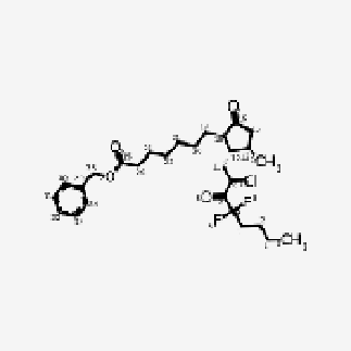 CCCCC(F)(F)C(=O)C(Cl)C[C@H]1[C@H](C)CC(=O)[C@@H]1CCCCCCC(=O)OCc1ccccc1